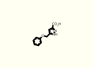 O=C(O)c1cc(COc2ccccc2)[nH]n1